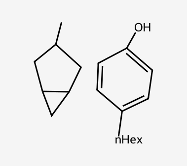 CC1CC2CC2C1.CCCCCCc1ccc(O)cc1